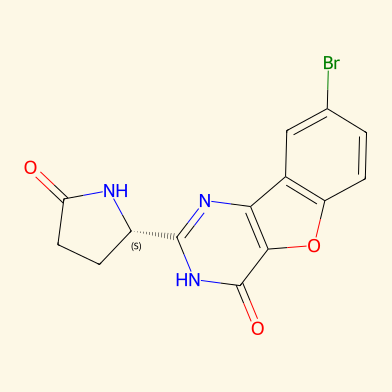 O=C1CC[C@@H](c2nc3c(oc4ccc(Br)cc43)c(=O)[nH]2)N1